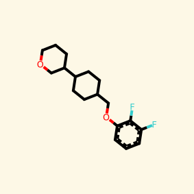 Fc1cccc(OCC2CCC(C3CCCOC3)CC2)c1F